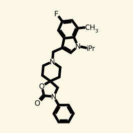 Cc1cc(F)cc2c(CN3CCC4(CC3)CN(c3ccccc3)C(=O)O4)cn(C(C)C)c12